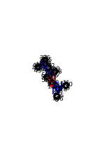 c1ccc(-c2cc(-c3ccccc3)nc(-c3ccc4c(c3)oc3c(-n5c6ccccc6c6cc7c8ccccc8n(-c8ccccc8)c7cc65)cccc34)n2)cc1